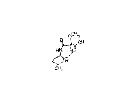 C=C1CC=C2NC(=O)c3c(OC)c(O)cn3C[C@H]2C1